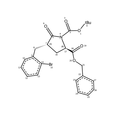 CC(C)(C)OC(=O)N1C(=O)[C@@H](Cc2ccccc2Br)C[C@@H]1C(=O)OCc1ccccc1